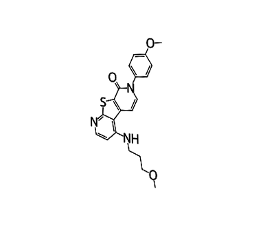 COCCCNc1ccnc2sc3c(=O)n(-c4ccc(OC)cc4)ccc3c12